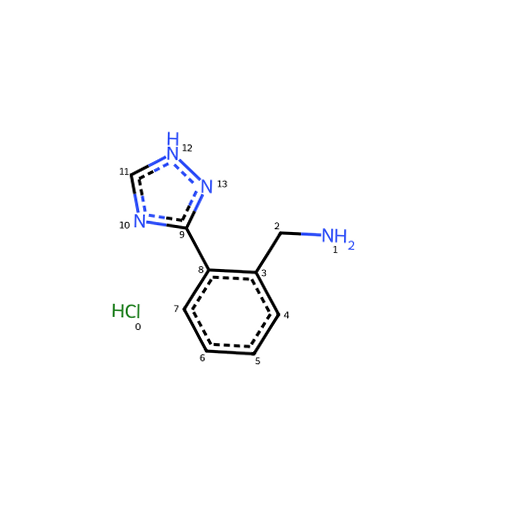 Cl.NCc1ccccc1-c1nc[nH]n1